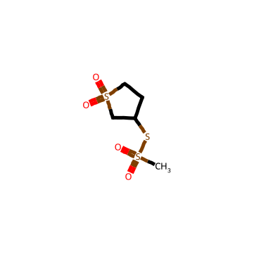 CS(=O)(=O)SC1CCS(=O)(=O)C1